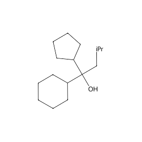 CC(C)CC(O)(C1CCCCC1)C1CCCC1